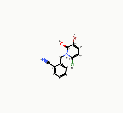 N#Cc1ccccc1Cn1c(Cl)ccc(Br)c1=O